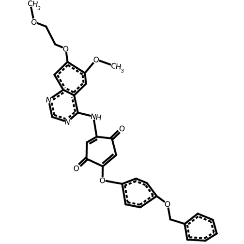 COCCOc1cc2ncnc(NC3=CC(=O)C(Oc4ccc(OCc5ccccc5)cc4)=CC3=O)c2cc1OC